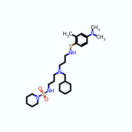 Cc1cc(N(C)C)ccc1SNCCCN(CCCNS(=O)(=O)N1CCCCC1)CC1CCCCC1